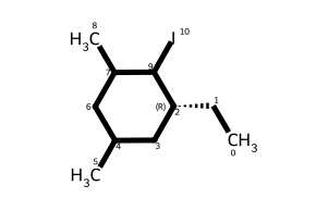 CC[C@@H]1CC(C)CC(C)C1I